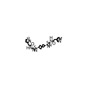 Cn1cc(CC(=O)Nc2nnc([C@H]3CC4(C3)C[C@H](c3nnc(NC(=O)Cc5ccn(C)n5)s3)C4)s2)cn1